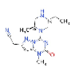 CC[C@@H]1CN(c2nc(=O)n(C)c3cc(CC#N)nn23)[C@@H](C)CN1